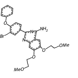 COCCOc1cc2nc(-c3ccc(Oc4ccccc4)c(Br)c3)nc(N)c2cc1OCCOC